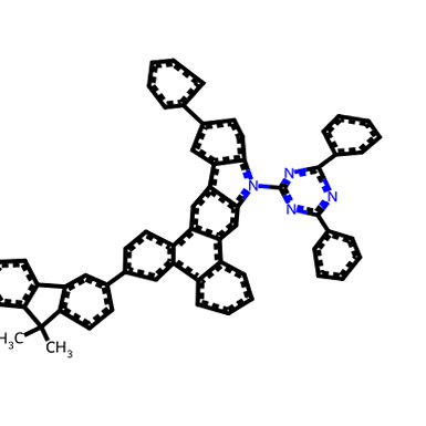 CC1(C)c2ccccc2-c2cc(-c3ccc4c(c3)c3ccccc3c3cc5c(cc43)c3cc(-c4ccccc4)ccc3n5-c3nc(-c4ccccc4)nc(-c4ccccc4)n3)ccc21